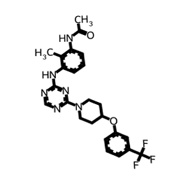 CC(=O)Nc1cccc(Nc2ncnc(N3CCC(Oc4cccc(C(F)(F)F)c4)CC3)n2)c1C